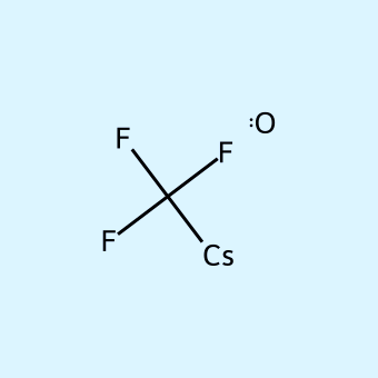 F[C](F)(F)[Cs].[O]